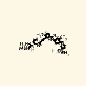 CN/C=C(\CN)Nc1cccn2c(C#Cc3cc(C(=O)Nc4ccc(CN5CC[C@H](N(C)C)C5)c(C(F)(F)F)c4)ccc3C)cnc12